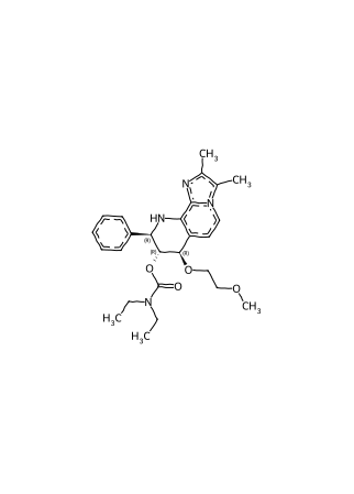 CCN(CC)C(=O)O[C@@H]1[C@@H](c2ccccc2)Nc2c(ccn3c(C)c(C)nc23)[C@H]1OCCOC